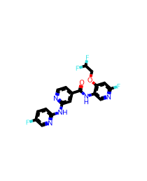 O=C(Nc1cnc(F)cc1OCC(F)F)c1ccnc(Nc2ccc(F)cn2)c1